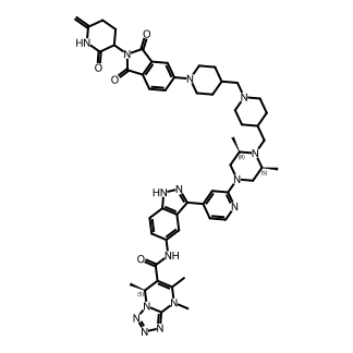 C=C1CCC(N2C(=O)c3ccc(N4CCC(CN5CCC(CN6[C@H](C)CN(c7cc(-c8n[nH]c9ccc(NC(=O)C%10=C(C)N(C)c%11nnnn%11[C@H]%10C)cc89)ccn7)C[C@@H]6C)CC5)CC4)cc3C2=O)C(=O)N1